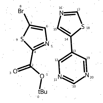 CC(C)(C)OC(=O)c1ncc(Br)s1.c1ncc(-c2cncs2)cn1